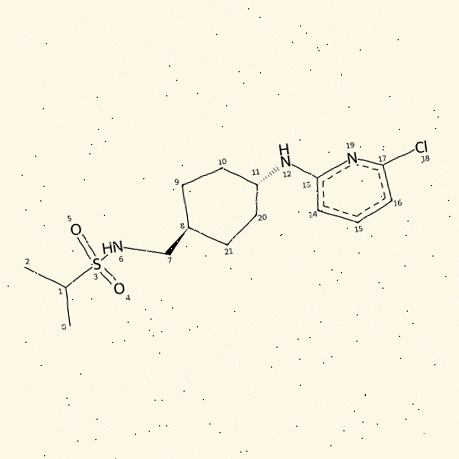 CC(C)S(=O)(=O)NC[C@H]1CC[C@H](Nc2cccc(Cl)n2)CC1